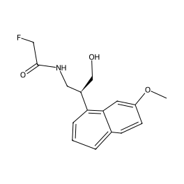 COc1ccc2cccc([C@H](CO)CNC(=O)CF)c2c1